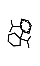 CC(C)c1ccccc1C1(C(C)C)CCCCC1